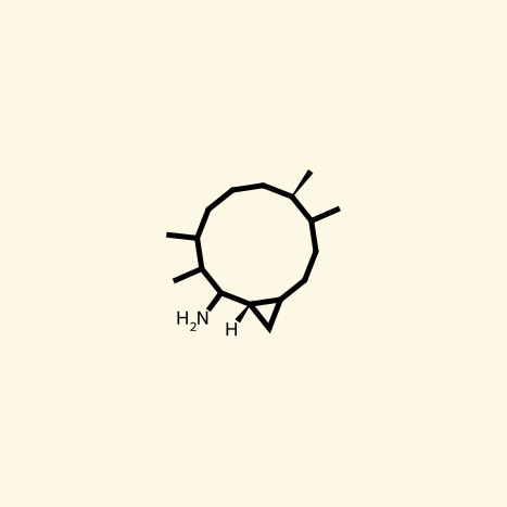 CC1CCC[C@@H](C)C(C)CCC2C[C@@H]2C(N)C1C